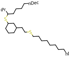 CCCCCCCCCCCCCCCCCCSCCC1CCCC(SC(CCC)CCCCCCCCCCCCCC)C1